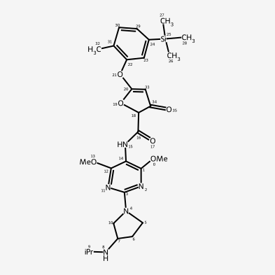 COc1nc(N2CCC(NC(C)C)C2)nc(OC)c1NC(=O)C1OC(Oc2cc([Si](C)(C)C)ccc2C)=CC1=O